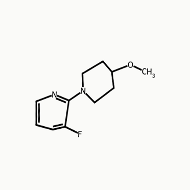 COC1CCN(c2ncccc2F)CC1